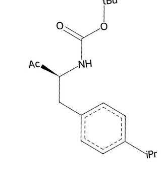 CC(=O)[C@H](Cc1ccc(C(C)C)cc1)NC(=O)OC(C)(C)C